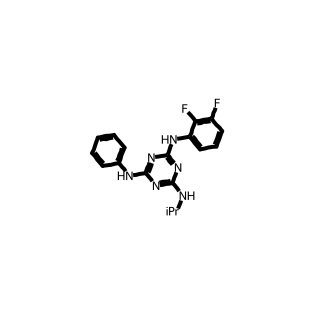 CC(C)Nc1nc(Nc2ccccc2)nc(Nc2cccc(F)c2F)n1